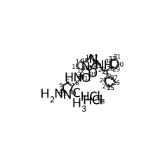 Cc1nc(N)ccc1CNC(=O)[C@@H]1CCc2cnc(NCC(c3ccccc3)c3ccccc3)c(=O)n21.Cl.Cl